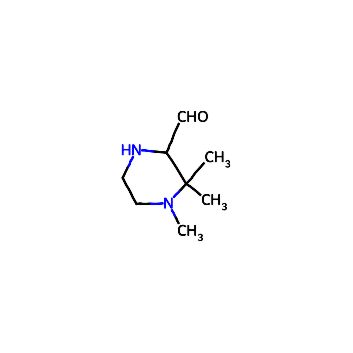 CN1CCNC(C=O)C1(C)C